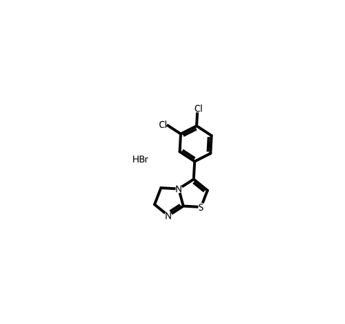 Br.Clc1ccc(C2=CSC3=NCCN23)cc1Cl